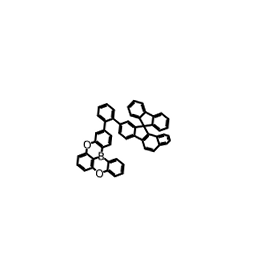 c1ccc2c(c1)Oc1cccc3c1B2c1ccc(-c2ccccc2-c2ccc4c(c2)C2(c5ccccc5-c5ccccc52)c2c-4ccc4ccccc24)cc1O3